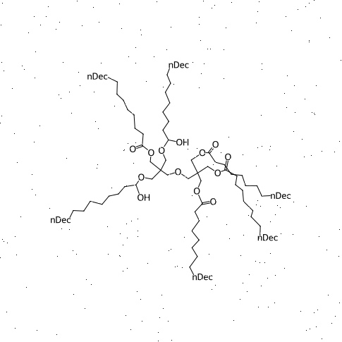 CCCCCCCCCCCCCCCCCC(=O)OCC(COCC(COC(=O)CCCCCCCCCCCCCCCCC)(COC(O)CCCCCCCCCCCCCCCCC)COC(O)CCCCCCCCCCCCCCCCC)(COC(=O)CCCCCCCCCCCCCCCCC)COC(=O)CCCCCCCCCCCCCCCCC